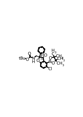 CC(C)(C)OC(=O)NC[C@]1(c2ccccc2)Oc2ccc(Cl)c(B3OC(C)(C)C(C)(C)O3)c2[C@@H]1O